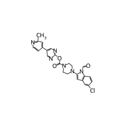 Cc1cc(-c2cnc(OC(=O)N3CCN(c4cc5cc(Cl)ccc5n4C=O)CC3)nc2)ccn1